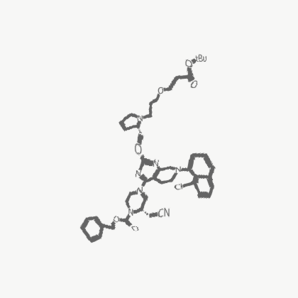 CC(C)(C)OC(=O)CCOCCCN1CCC[C@H]1COc1nc2c(c(N3CCN(C(=O)OCc4ccccc4)[C@@H](CC#N)C3)n1)CCN(c1cccc3cccc(Cl)c13)C2